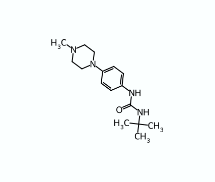 CN1CCN(c2ccc(NC(=O)NC(C)(C)C)cc2)CC1